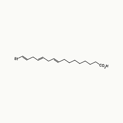 CC/C=C/C/C=C/C/C=C/CCCCCCCC(=O)O